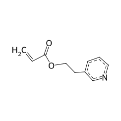 C=CC(=O)OCCc1cccnc1